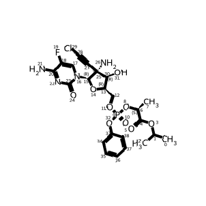 CC(C)OC(=O)[C@H](C)OP(=O)(OC[C@H]1O[C@@H](n2cc(F)c(N)nc2=O)[C@@](N)(C#CCl)[C@H]1O)Oc1ccccc1